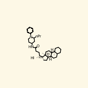 CCCC1CC(NC(=O)CC[C@@H](C)[C@H]2CC[C@H]3[C@@H]4CCC5CCCC[C@]5(C)[C@H]4CC[C@]23C)CCN1c1ccccc1.I